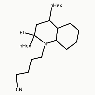 CCCCCCC1CC(CC)(CCCCCC)N(CCCCC#N)C2CCCCC12